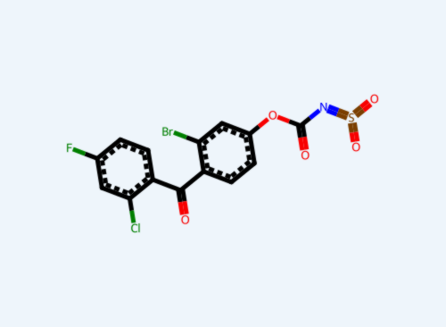 O=C(N=S(=O)=O)Oc1ccc(C(=O)c2ccc(F)cc2Cl)c(Br)c1